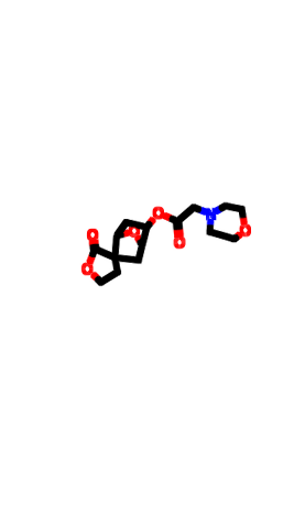 O=C(CN1CCOCC1)OC1CC2OC1CC21CCOC1=O